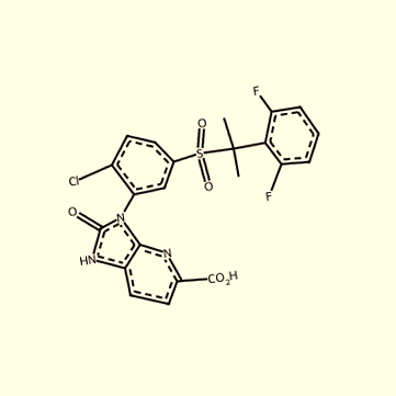 CC(C)(c1c(F)cccc1F)S(=O)(=O)c1ccc(Cl)c(-n2c(=O)[nH]c3ccc(C(=O)O)nc32)c1